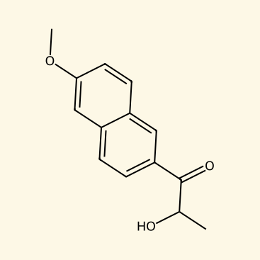 COc1ccc2cc(C(=O)C(C)O)ccc2c1